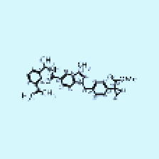 C=C(C)c1cccc(C(C)NC(=O)c2ccc3c(c2)c(C)cn3Cc2ccc(C3(C(=O)OC)CC3)cc2)c1